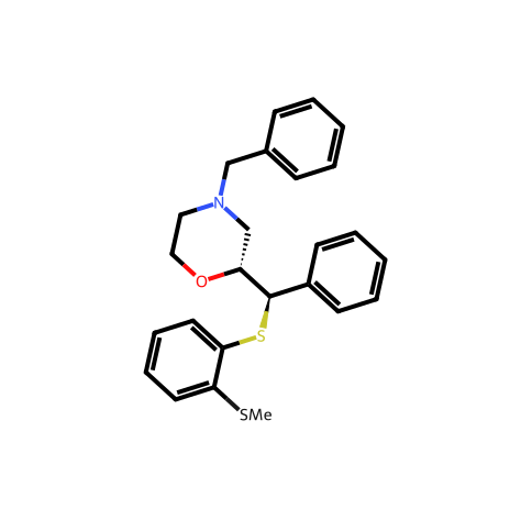 CSc1ccccc1S[C@H](c1ccccc1)[C@H]1CN(Cc2ccccc2)CCO1